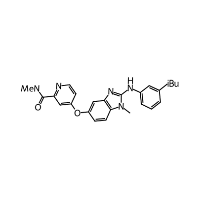 CCC(C)c1cccc(Nc2nc3cc(Oc4ccnc(C(=O)NC)c4)ccc3n2C)c1